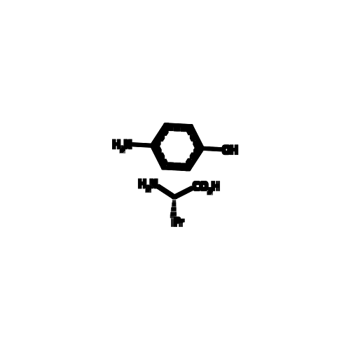 CC(C)[C@H](N)C(=O)O.Nc1ccc(O)cc1